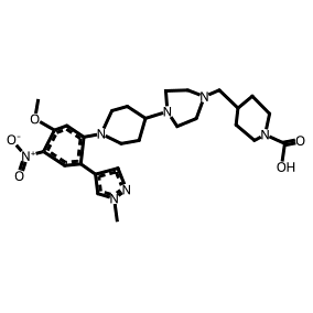 COc1cc(N2CCC(N3CCN(CC4CCN(C(=O)O)CC4)CC3)CC2)c(-c2cnn(C)c2)cc1[N+](=O)[O-]